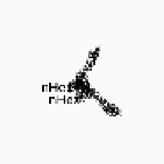 C=Cc1ccc(COCCCCCCc2ccc(N(c3ccc(CCCCCC)cc3)c3nnc(N(c4ccc(CCCCCC)cc4)c4ccc(CCCCCCOCc5ccc(C=C)cc5)cc4)[nH]3)cc2)cc1